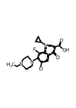 CCN1CCN(c2c(Cl)cc3c(=O)c(C(=O)O)cn(C4CC4)c3c2F)CC1